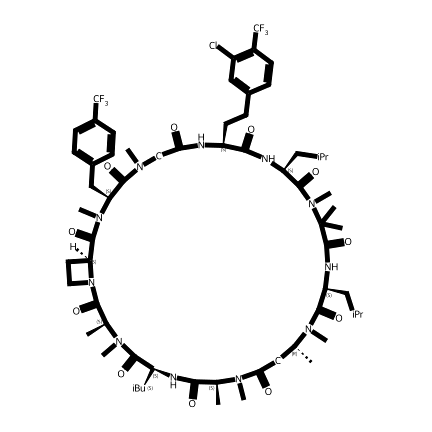 CC[C@H](C)[C@@H]1NC(=O)[C@H](C)N(C)C(=O)C[C@@H](C)N(C)C(=O)[C@H](CC(C)C)NC(=O)C(C)(C)N(C)C(=O)[C@H](CC(C)C)NC(=O)[C@H](CCc2ccc(C(F)(F)F)c(Cl)c2)NC(=O)CN(C)C(=O)[C@H](Cc2ccc(C(F)(F)F)cc2)N(C)C(=O)[C@@H]2CCN2C(=O)[C@H](C)N(C)C1=O